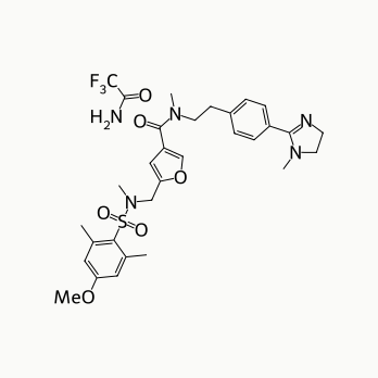 COc1cc(C)c(S(=O)(=O)N(C)Cc2cc(C(=O)N(C)CCc3ccc(C4=NCCN4C)cc3)co2)c(C)c1.NC(=O)C(F)(F)F